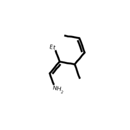 C/C=C\C(C)/C(=C\N)CC